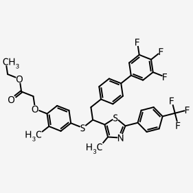 CCOC(=O)COc1ccc(SC(Cc2ccc(-c3cc(F)c(F)c(F)c3)cc2)c2sc(-c3ccc(C(F)(F)F)cc3)nc2C)cc1C